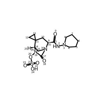 O=C(NN1CCCCC1)[C@@H]1CC2(CC2)[C@@H]2CN1C(=O)N2OS(=O)(=O)O